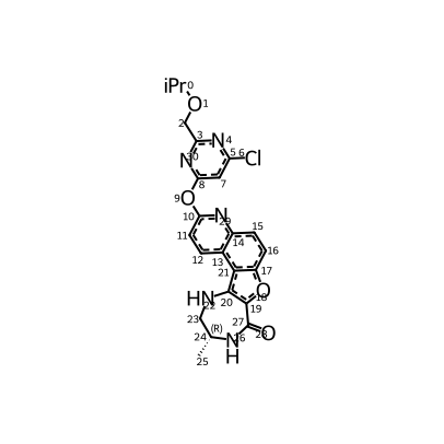 CC(C)OCc1nc(Cl)cc(Oc2ccc3c(ccc4oc5c(c43)NC[C@@H](C)NC5=O)n2)n1